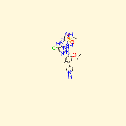 CN/C=C(/Nc1nc(Nc2cc(C)c(C3CCNCC3)cc2OC(C)C)ncc1Cl)C(=N)S(=O)(=O)C(C)C